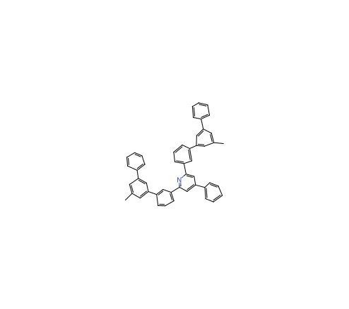 Cc1cc(-c2ccccc2)cc(-c2cccc(-c3cc(-c4ccccc4)cc(-c4cccc(-c5cc(C)cc(-c6ccccc6)c5)c4)n3)c2)c1